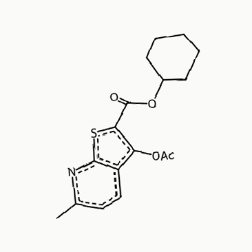 CC(=O)Oc1c(C(=O)OC2CCCCC2)sc2nc(C)ccc12